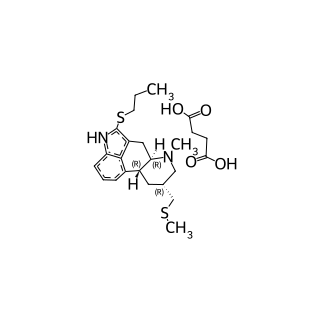 CCCSc1[nH]c2cccc3c2c1C[C@@H]1[C@@H]3C[C@@H](CSC)CN1C.O=C(O)CCC(=O)O